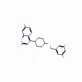 N.Nc1cc(C2CCC(NCc3cc(Cl)cc(Cl)c3)CC2)c2ccc(Cl)cc2n1